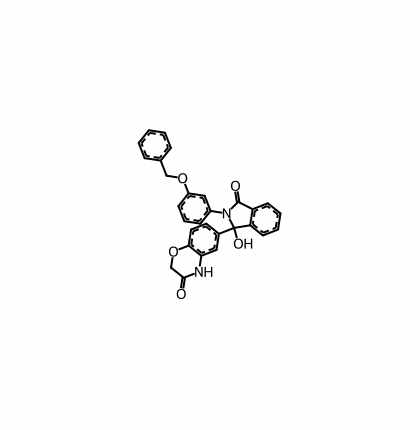 O=C1COc2ccc(C3(O)c4ccccc4C(=O)N3c3cccc(OCc4ccccc4)c3)cc2N1